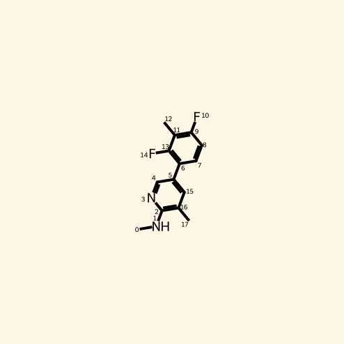 CNc1ncc(-c2ccc(F)c(C)c2F)cc1C